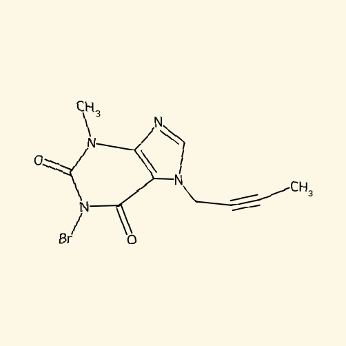 CC#CCn1cnc2c1c(=O)n(Br)c(=O)n2C